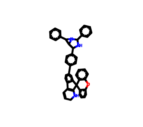 C1=CC2=C(NC1)C1(c3ccccc3Oc3ccccc31)c1cc(-c3ccc(C4NC(c5ccccc5)N5C(c6ccccc6)C45)cc3)ccc12